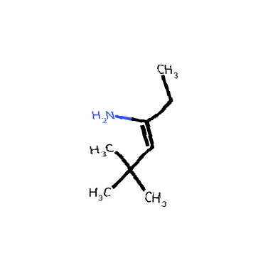 CCC(N)=CC(C)(C)C